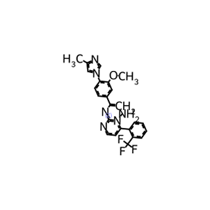 C=C(/N=c1/nccc(-c2ccccc2C(F)(F)F)n1N)c1ccc(-n2cnc(C)c2)c(OC)c1